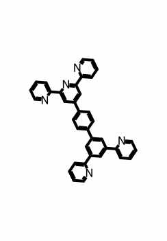 c1ccc(-c2cc(-c3ccc(-c4cc(-c5ccccn5)nc(-c5ccccn5)c4)cc3)cc(-c3ccccn3)c2)nc1